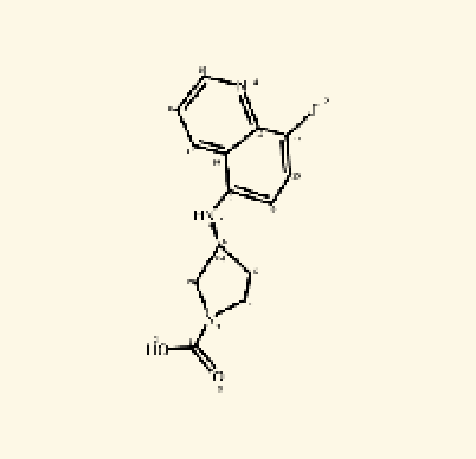 O=C(O)N1CC[C@H](Nc2ccc(F)c3ncccc23)C1